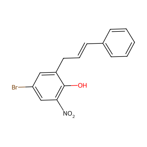 O=[N+]([O-])c1cc(Br)cc(CC=Cc2ccccc2)c1O